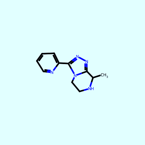 CC1NCCn2c(-c3ccccn3)nnc21